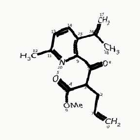 C=CCC(C(=O)OC)C(=O)c1nc(C)ccc1C(=C)C